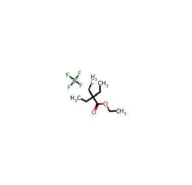 CCOC(=O)C(CC)(CC)CC.F[B-](F)(F)F